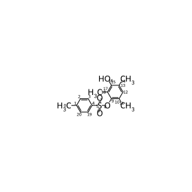 Cc1ccc(S(=O)(=O)Oc2c(C)cc(C)c(O)c2C)cc1